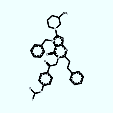 NC1CCCN(c2nc3nc(CCc4ccccc4)n(CC(=O)c4ccc(OC(F)F)cc4)c(=O)c3n2Cc2ccccc2)C1